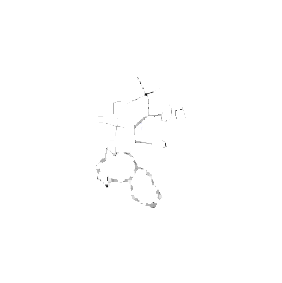 CC(C)(C)/C(O)=C(/C(=O)c1ncnc2ccccc12)C(F)(F)F